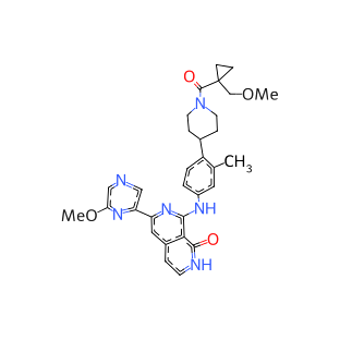 COCC1(C(=O)N2CCC(c3ccc(Nc4nc(-c5cncc(OC)n5)cc5cc[nH]c(=O)c45)cc3C)CC2)CC1